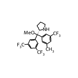 COC(c1cc(C)cc(C(F)(F)F)c1)(c1cc(C(F)(F)F)cc(C(F)(F)F)c1)[C@@H]1CCCN1